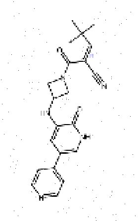 CC(C)(C)/C=C(/C#N)C(=O)N1CC(Nc2cc(-c3ccncc3)c[nH]c2=O)C1